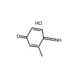 CC1=CC(=O)C=CC1=N.Cl